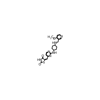 COc1ccncc1CNC1CCC(Nc2nccc(C=C3SC(=O)NC3=O)n2)CC1